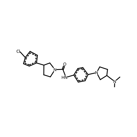 CN(C)C1CCN(c2ccc(NC(=O)N3CCC(c4ccc(Cl)cc4)C3)cc2)C1